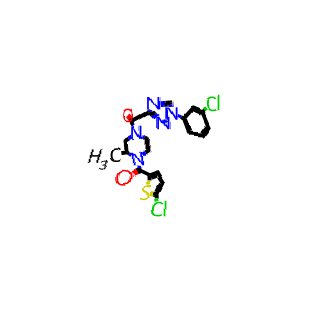 CC1CN(C(=O)c2ncn(-c3cccc(Cl)c3)n2)CCN1C(=O)c1ccc(Cl)s1